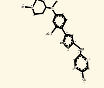 COc1cc(N(C)C2CCN(C(C)C)CC2)ccc1-c1cc(Nc2cnc(C#N)cn2)n[nH]1